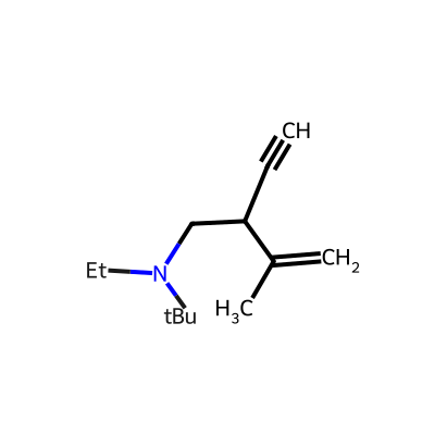 C#CC(CN(CC)C(C)(C)C)C(=C)C